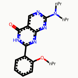 CCCOc1ccccc1-c1nc2nc(N(CCC)CCC)ncc2c(=O)[nH]1